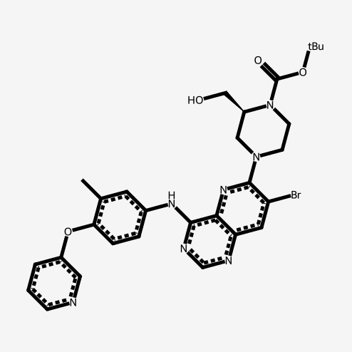 Cc1cc(Nc2ncnc3cc(Br)c(N4CCN(C(=O)OC(C)(C)C)[C@H](CO)C4)nc23)ccc1Oc1cccnc1